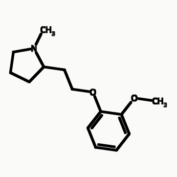 COc1ccccc1OCCC1CCCN1C